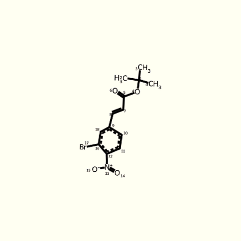 CC(C)(C)OC(=O)C=Cc1ccc([N+](=O)[O-])c(Br)c1